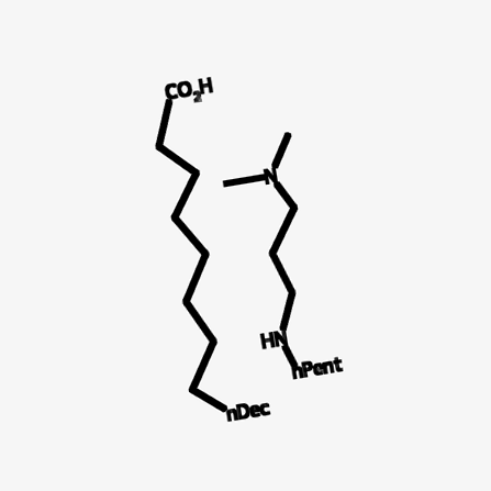 CCCCCCCCCCCCCCCCCC(=O)O.CCCCCNCCCN(C)C